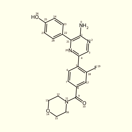 Nc1ncc(-c2ccc(C(=O)N3CCOCC3)cc2F)nc1-c1ccc(O)cc1